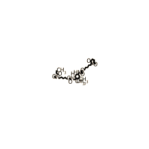 C/C=C\C(=O)N(C=O)CCCCCOC(=O)NCC1(C)CCC(NC(=O)OCCCCCN2C(=O)C=CC2=O)CC1(C)C